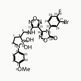 COc1ccc(N2CCC(CNc3nonc3-c3noc(=O)n3-c3ccc(F)c(Br)c3)S2(O)O)cc1